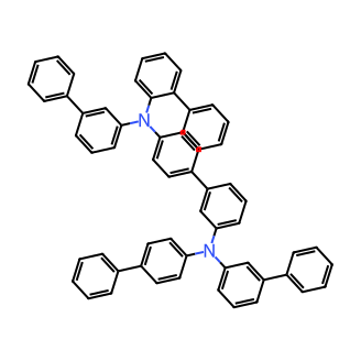 c1ccc(-c2ccc(N(c3cccc(-c4ccccc4)c3)c3cccc(-c4ccc(N(c5cccc(-c6ccccc6)c5)c5ccccc5-c5ccccc5)cc4)c3)cc2)cc1